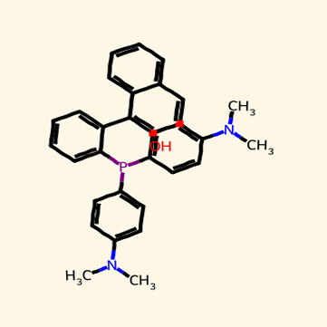 CN(C)c1ccc(P(c2ccc(N(C)C)cc2)c2ccccc2-c2c(O)ccc3ccccc23)cc1